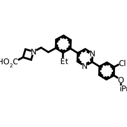 CCc1c(CCN2CC(C(=O)O)C2)cccc1-c1cnc(-c2ccc(OC(C)C)c(Cl)c2)nc1